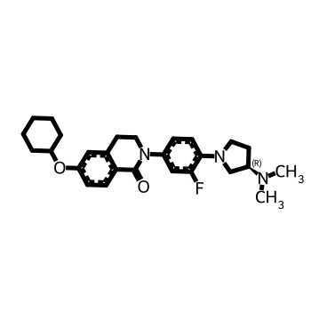 CN(C)[C@@H]1CCN(c2ccc(N3CCc4cc(OC5CCCCC5)ccc4C3=O)cc2F)C1